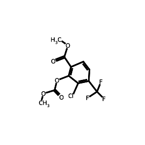 COC(=O)Oc1c(C(=O)OC)ccc(C(F)(F)F)c1Cl